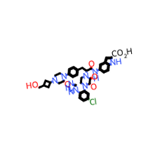 O=C(O)c1cc2cc(NC(=O)C(Cc3ccc(N4CCN(C5CC(CO)C5)CC4=O)cc3)N3CCN(c4cc(Cl)ccc4-n4cnnn4)C(=O)C3=O)ccc2[nH]1